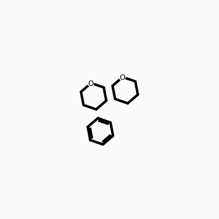 C1CCOCC1.C1CCOCC1.c1ccccc1